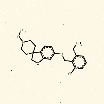 CCc1cccc(Cl)c1COc1ccc2c(c1)OCC21CCN(OC)CC1